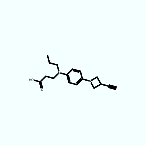 C#CC1CN(c2ccc(N(CCC)CCC(=O)O)cc2)C1